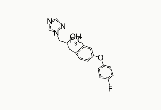 OC(Cc1ccc(Oc2ccc(F)cc2)cc1C(F)(F)F)Cn1cncn1